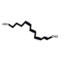 CCCCCCCCCCC\C=C/C=C/C=C\C=C\[C]=O